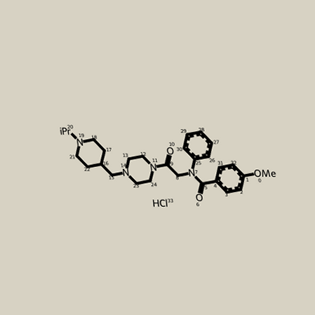 COc1ccc(C(=O)N(CC(=O)N2CCN(CC3CCN(C(C)C)CC3)CC2)c2ccccc2)cc1.Cl